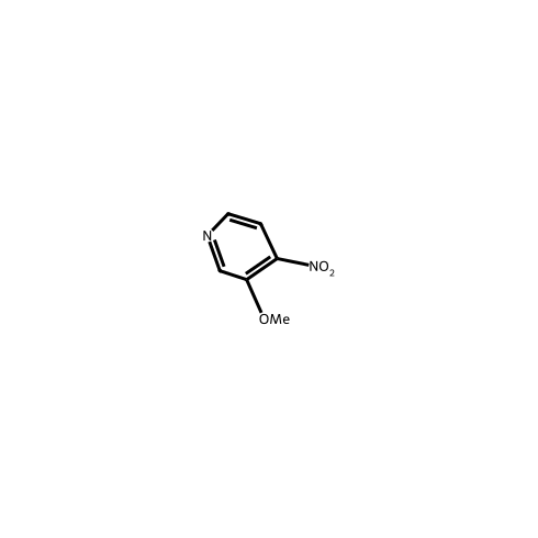 COc1cnccc1[N+](=O)[O-]